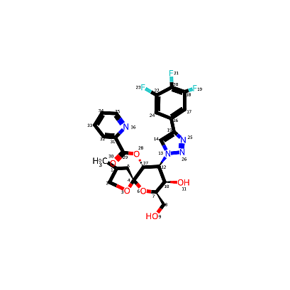 CC1CO[C@@]2(C1)O[C@H](CO)[C@H](O)[C@H](n1cc(-c3cc(F)c(F)c(F)c3)nn1)[C@H]2OC(=O)c1ccccn1